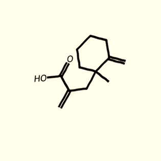 C=C(CC1(C)CCCCC1=C)C(=O)O